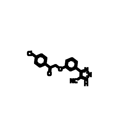 N#Cc1[nH]nnc1-c1cccc(OCC(=O)c2ccc(Cl)cc2)c1